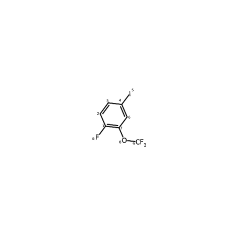 Fc1ccc(I)cc1OC(F)(F)F